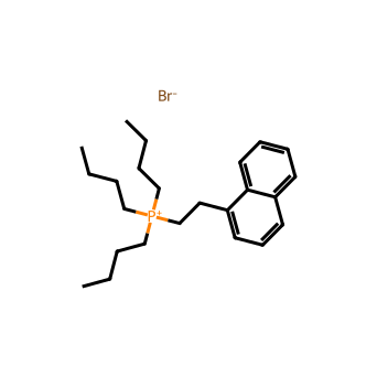 CCCC[P+](CCCC)(CCCC)CCc1cccc2ccccc12.[Br-]